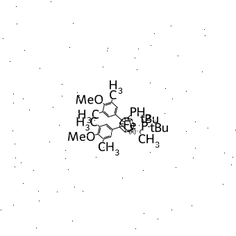 COc1c(C)cc([C]23[CH]4[C@]5(C(C)P(C(C)(C)C)C(C)(C)C)[C]6(P)[C]2(c2cc(C)c(OC)c(C)c2)[Fe]43652789[CH]3[CH]2[CH]7[CH]8[CH]39)cc1C